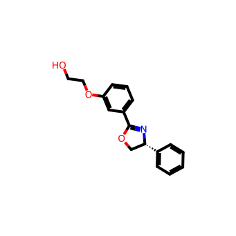 OCCOc1cccc(C2=N[C@H](c3ccccc3)CO2)c1